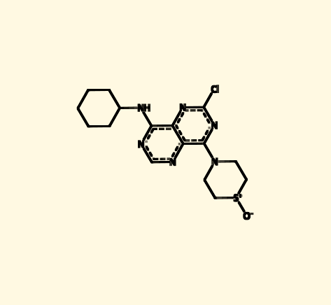 [O-][S+]1CCN(c2nc(Cl)nc3c(NC4CCCCC4)ncnc23)CC1